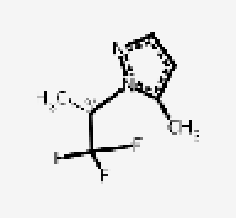 Cc1ccnn1[C@@H](C)C(F)(F)F